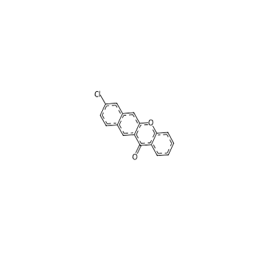 O=c1c2ccccc2oc2cc3cc(Cl)ccc3cc12